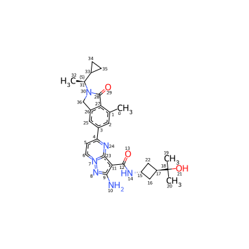 Cc1cc(-c2ccn3nc(N)c(C(=O)N[C@H]4C[C@H](C(C)(C)O)C4)c3n2)cc2c1C(=O)N([C@@H](C)C1CC1)C2